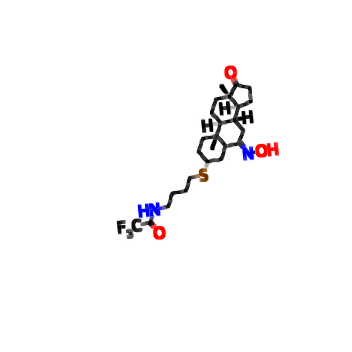 C[C@]12CC[C@@H](SCCCCNC(=O)C(F)(F)F)CC1/C(=N/O)C[C@@H]1[C@@H]2CC[C@]2(C)C(=O)CC[C@@H]12